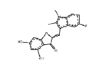 Cc1c(C=C2Oc3cc(O)cc(O)c3C2=O)c2cc(F)ccc2n1C